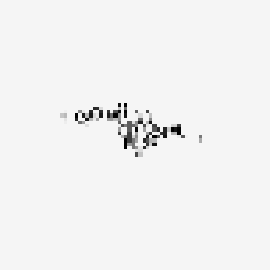 COCCOc1cc2ncnc(NC3=CC(=O)C(OCc4cccc(OC)c4)=CC3=O)c2cc1OC